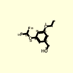 CCOc1cc(CO)cc(OC(F)F)c1